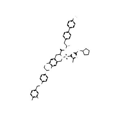 Cc1nc(NC2CCCC2)sc1S(=O)(=O)N1Cc2cc3c(cc2CC1C(=O)N[C@@H](Cc1ccc(-c2ccc(C#N)cc2)cc1)C(=O)O)OC[C@H](c1ccc(OCc2ccc(Cl)c(Cl)c2)cc1)O3